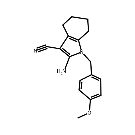 COc1ccc(Cn2c(N)c(C#N)c3c2CCCC3)cc1